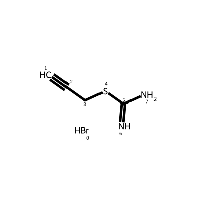 Br.C#CCSC(=N)N